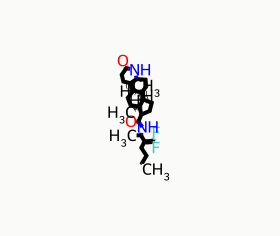 CCCCC(=C(F)F)C(C)NC(=O)C1CC[C@H]2[C@@H]3CCC4NC(=O)CC[C@]4(C)[C@@H]3CC[C@]12C